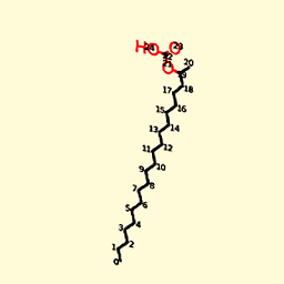 CCCCCCCCCCCCCCCCCCCC(C)OC(=O)O